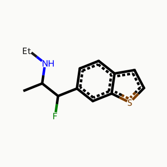 CCNC(C)C(F)c1ccc2ccsc2c1